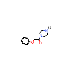 CCN1CCN(C(=O)COc2cc[c]cc2)CC1